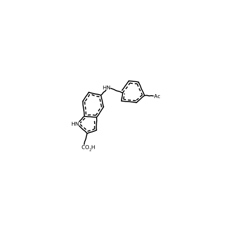 CC(=O)c1ccc(Nc2ccc3[nH]c(C(=O)O)cc3c2)cc1